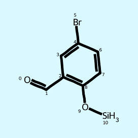 O=Cc1cc(Br)ccc1O[SiH3]